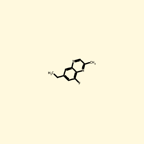 CCc1cc(F)c2nc(C)cnc2c1